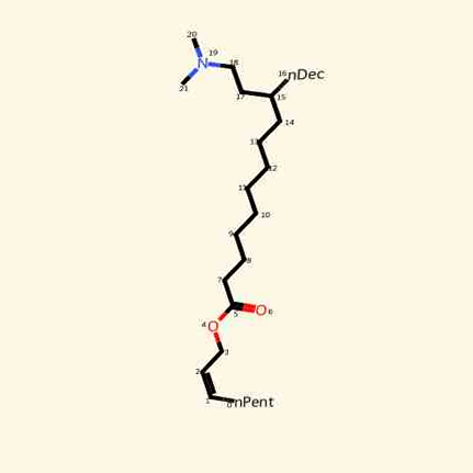 CCCCC/C=C\COC(=O)CCCCCCCCC(CCCCCCCCCC)CCN(C)C